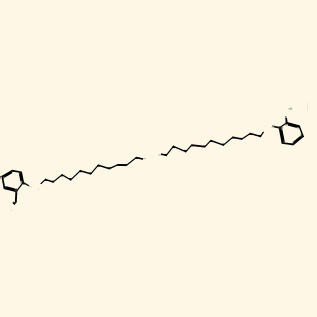 COc1ccccc1OCCCCCCCCCCCSSCCCCCCCCCCCOc1ccccc1C=O